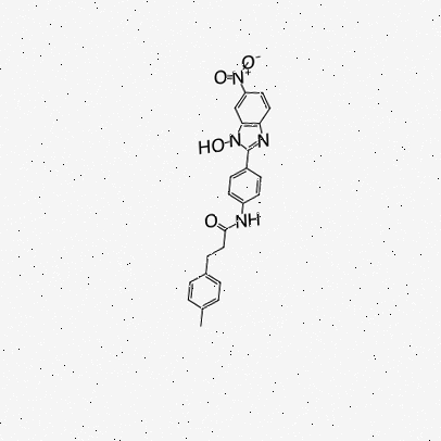 Cc1ccc(CCC(=O)Nc2ccc(-c3nc4ccc([N+](=O)[O-])cc4n3O)cc2)cc1